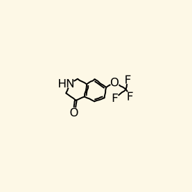 O=C1CNCc2cc(OC(F)(F)F)ccc21